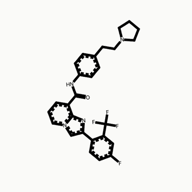 O=C(Nc1ccc(CCN2CCCC2)cc1)c1cccn2cc(-c3ccc(F)cc3C(F)(F)F)nc12